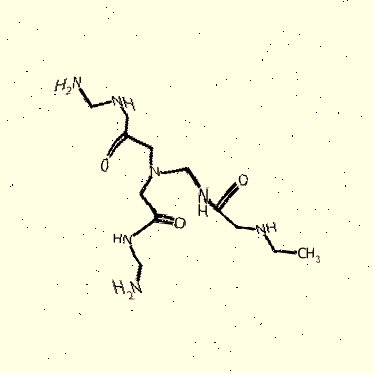 CCNCC(=O)NCN(CC(=O)NCN)CC(=O)NCN